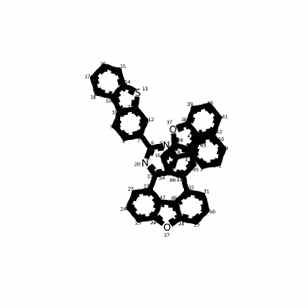 c1ccc(-c2nc(-c3ccc4c(c3)sc3ccccc34)nc(-c3cccc4oc5cccc(-c6ccc7oc8ccccc8c7c6)c5c34)n2)cc1